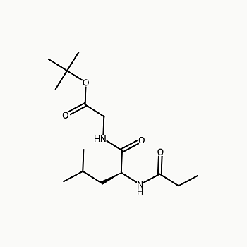 CCC(=O)N[C@@H](CC(C)C)C(=O)NCC(=O)OC(C)(C)C